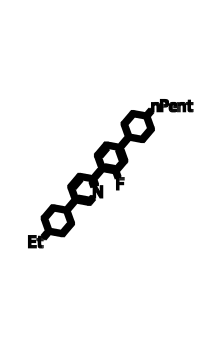 CCCCCC1CCC(c2ccc(-c3ccc(C4CCC(CC)CC4)cn3)c(F)c2)CC1